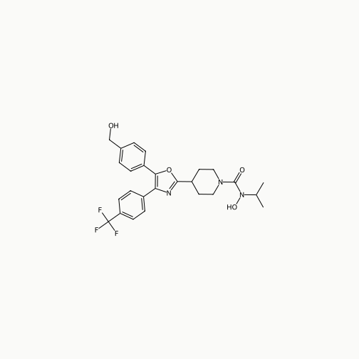 CC(C)N(O)C(=O)N1CCC(c2nc(-c3ccc(C(F)(F)F)cc3)c(-c3ccc(CO)cc3)o2)CC1